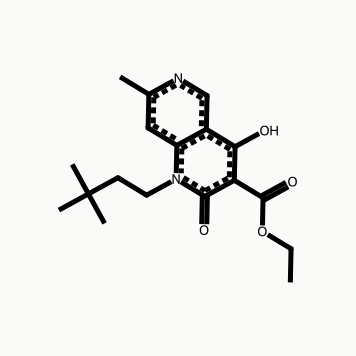 CCOC(=O)c1c(O)c2cnc(C)cc2n(CCC(C)(C)C)c1=O